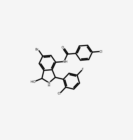 O=C(Nc1cc(Br)cc2c1C(c1cc(F)ccc1Cl)NC2O)c1ccc(Cl)cc1